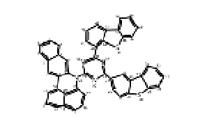 c1ccc2cc3c(cc2c1)-c1cccc2cccc(c12)N3c1nc(-c2ccc3sc4ccccc4c3c2)nc(-c2cccc3c2sc2ccccc23)n1